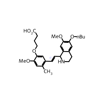 CCCCOc1cc2c(cc1OC)C(/C=C/c1cc(OCCCC(=O)O)c(OC)cc1C)NCC2